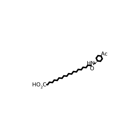 CC(=O)[C@H]1CC[C@H](CNC(=O)CCCCCCCCCCCCCCCCCCC(=O)O)CC1